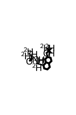 [2H]C([2H])([2H])Oc1ccc2cccc(C([2H])([2H])CNC(=O)C([2H])([2H])[2H])c2c1